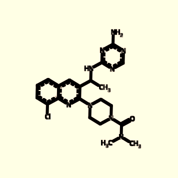 CC(Nc1ncnc(N)n1)c1cc2cccc(Cl)c2nc1N1CCN(C(=O)N(C)C)CC1